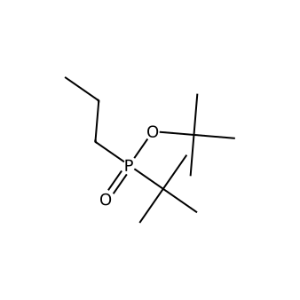 CCCP(=O)(OC(C)(C)C)C(C)(C)C